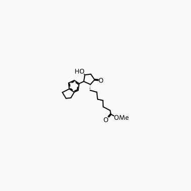 COC(=O)CCCCCC[C@H]1C(=O)C[C@@H](O)C1c1ccc2c(c1)CCC2